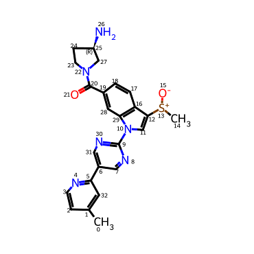 Cc1ccnc(-c2cnc(-n3cc([S+](C)[O-])c4ccc(C(=O)N5CC[C@@H](N)C5)cc43)nc2)c1